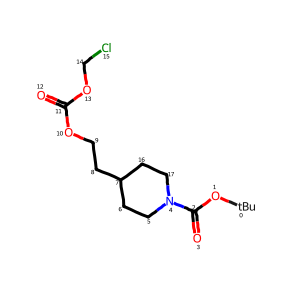 CC(C)(C)OC(=O)N1CCC(CCOC(=O)OCCl)CC1